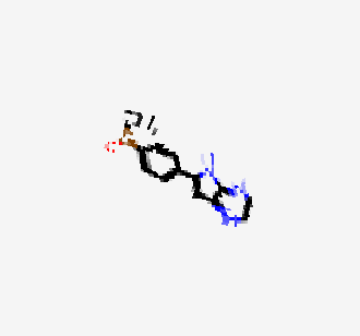 C[S+]([O-])c1ccc(-c2cc3nccnc3[nH]2)cc1